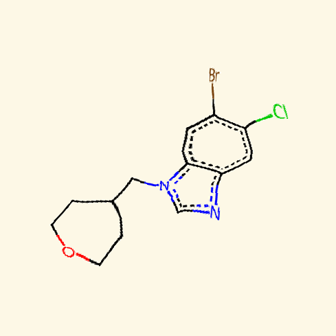 Clc1cc2ncn(CC3CCOCC3)c2cc1Br